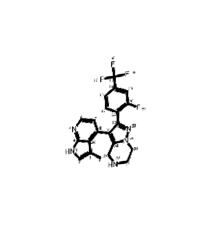 Cc1c[nH]c2nccc(-c3c(-c4ccc(C(F)(F)F)cc4F)nn4c3CNCC4)c12